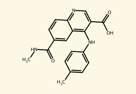 CNC(=O)c1ccc2ncc(C(=O)O)c(Nc3ccc(C)cc3)c2c1